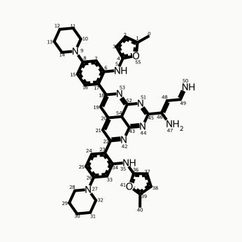 Cc1ccc(Nc2cc(N3CCCCC3)ccc2C2=CC3=CC(c4ccc(N5CCCCC5)cc4Nc4ccc(C)o4)=NC4=NC(/C(N)=C/C=N)=NC(=N2)C34)o1